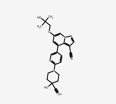 C#CC1(O)CCN(c2ccc(-c3cc(OCC(C)(C)O)cn4ncc(C#N)c34)cn2)CC1